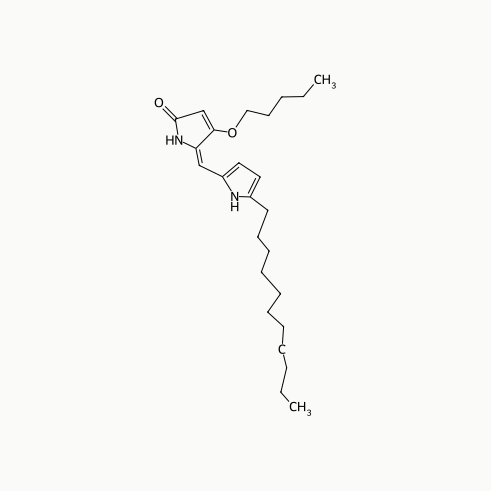 CCCCCCCCCCCc1ccc(/C=C2/NC(=O)C=C2OCCCCC)[nH]1